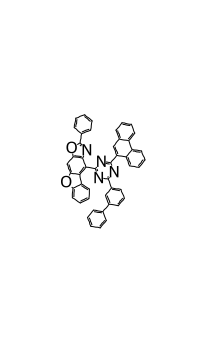 c1ccc(-c2cccc(-c3nc(-c4cc5ccccc5c5ccccc45)nc(-c4c5nc(-c6ccccc6)oc5cc5oc6ccccc6c45)n3)c2)cc1